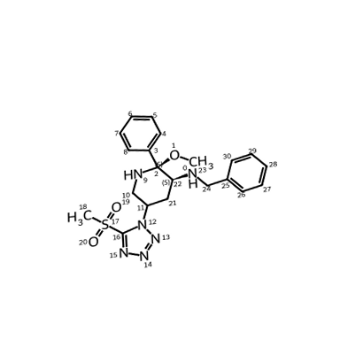 CO[C@]1(c2ccccc2)NCC(n2nnnc2S(C)(=O)=O)C[C@@H]1NCc1ccccc1